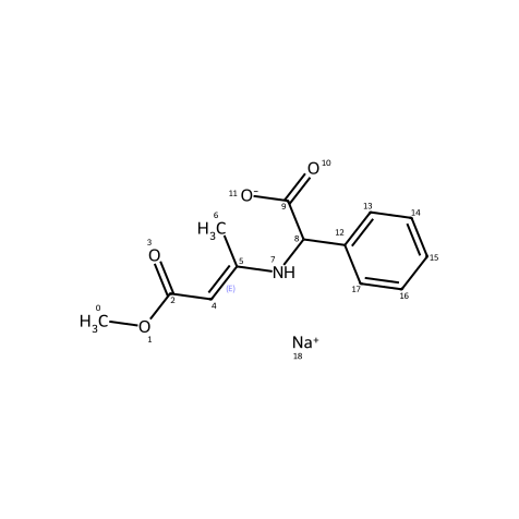 COC(=O)/C=C(\C)NC(C(=O)[O-])c1ccccc1.[Na+]